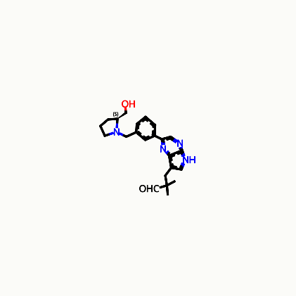 CC(C)(C=O)Cc1c[nH]c2ncc(-c3cccc(CN4CCC[C@H]4CO)c3)nc12